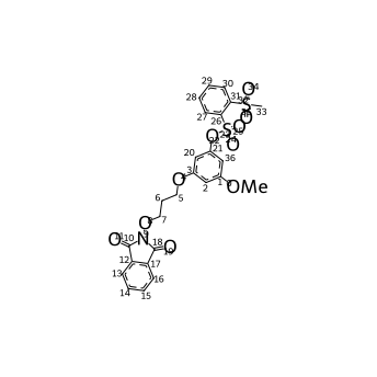 COc1cc(OCCCON2C(=O)c3ccccc3C2=O)cc(OS(=O)(=O)c2ccccc2S(C)(=O)=O)c1